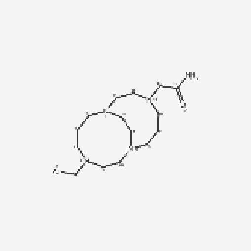 CC(=O)CN1CCCN2CCN(CCCN(CC(N)=O)CC2)CC1